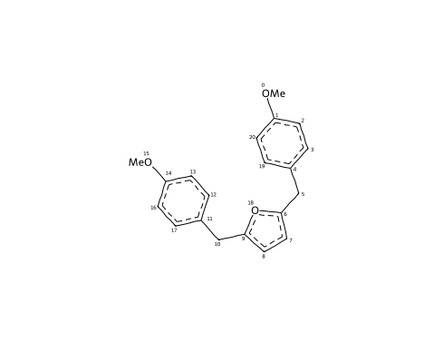 COc1ccc(Cc2ccc(Cc3ccc(OC)cc3)o2)cc1